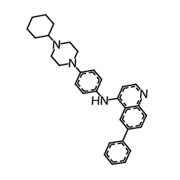 c1ccc(-c2ccc3nccc(Nc4ccc(N5CCN(C6CCCCC6)CC5)cc4)c3c2)cc1